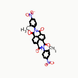 Cc1cc([N+](=O)[O-])ccc1N1C(=O)c2ccc3c4c(ccc(c24)C1=O)C(=O)N(c1ccc([N+](=O)[O-])cc1C)C3=O